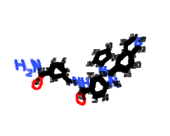 NC(=O)c1cccc(CNC(=O)c2ccc3nc(-c4ccc5cnccc5c4)n(C4CCCC4)c3c2)c1